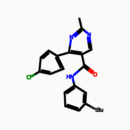 Cc1ncc(C(=O)Nc2cc[c]c(C(C)(C)C)c2)c(-c2ccc(Cl)cc2)n1